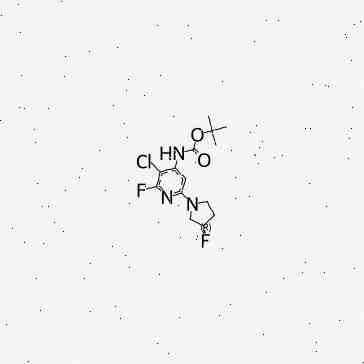 CC(C)(C)OC(=O)Nc1cc(N2CC[C@@H](F)C2)nc(F)c1Cl